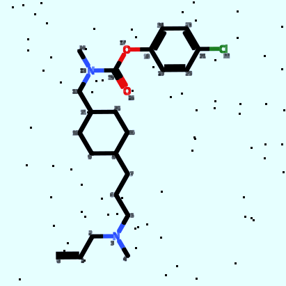 C=CCN(C)CCCC1CCC(CN(C)C(=O)Oc2ccc(Cl)cc2)CC1